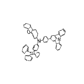 C1=c2oc3ccccc3c2=CCC1N(c1ccc(-c2cc3c4ccccc4n4c5ccccc5c(c2)c34)cc1)c1ccc([Si](c2ccccc2)(c2ccccc2)c2ccccc2)cc1